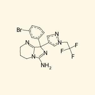 NC1=NC(c2cccc(Br)c2)(c2cnn(CC(F)(F)F)c2)C2=NCCCN12